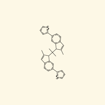 CC1=Cc2ccc(-c3cccs3)cc2C1C(C)(C)C1C(C)=Cc2ccc(-c3cccs3)cc21